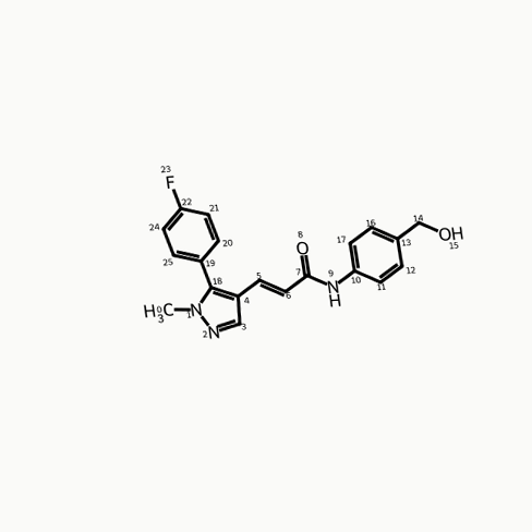 Cn1ncc(C=CC(=O)Nc2ccc(CO)cc2)c1-c1ccc(F)cc1